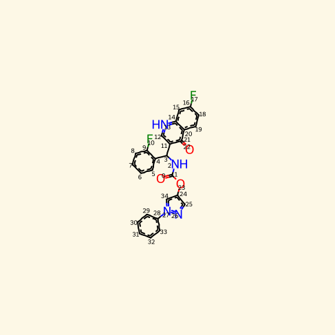 O=C(NC(c1ccccc1F)c1c[nH]c2cc(F)ccc2c1=O)Oc1cnn(-c2ccccc2)c1